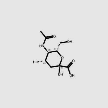 CC(=O)N[C@H]1[C@H](CO)O[C@](O)(C(=O)O)C[C@@H]1O